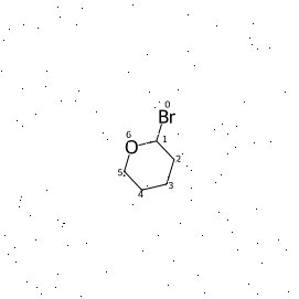 BrC1CCC[CH]O1